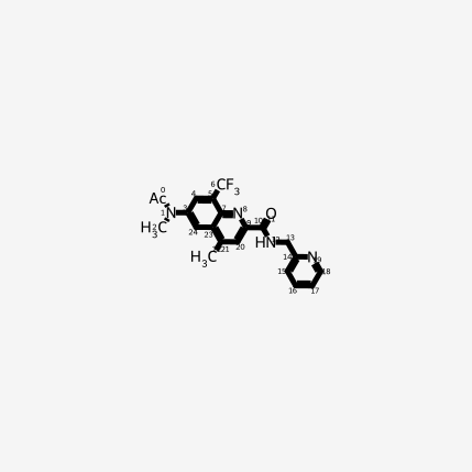 CC(=O)N(C)c1cc(C(F)(F)F)c2nc(C(=O)NCc3ccccn3)cc(C)c2c1